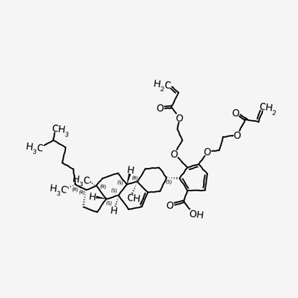 C=CC(=O)OCCOc1ccc(C(=O)O)c([C@H]2CC[C@@]3(C)C(=CC[C@H]4[C@@H]5CC[C@H]([C@H](C)CCCC(C)C)[C@@]5(C)CC[C@@H]43)C2)c1OCCOC(=O)C=C